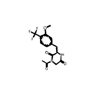 COc1cc(/C=C2/NC(=O)CN(C(C)=O)C2=O)ccc1C(F)(F)F